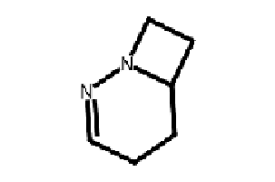 C1=NN2CCC2CC1